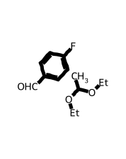 CCOC(C)OCC.O=Cc1ccc(F)cc1